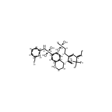 C=C(/C(=C\C(=C/C)C(F)(F)F)CCS(C)(=O)=O)[C@@H]1CCOc2cc(S(=O)(=O)Nc3cccc(F)n3)ccc21